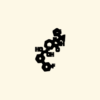 O=c1[nH]c(C2(c3cccs3)CC2)nc2c1CN(C(O)[C@H](O)c1cccc(-c3cccc(F)c3)c1)CCC2